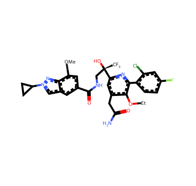 CCOc1c(CC(N)=O)cc([C@@](O)(CNC(=O)c2cc(OC)c3nn(C4CC4)cc3c2)C(F)(F)F)nc1-c1ccc(F)cc1Cl